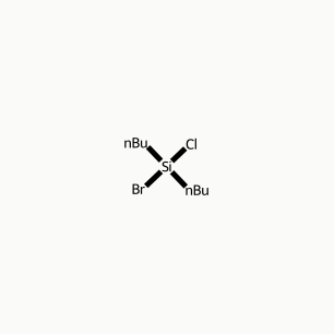 CCCC[Si](Cl)(Br)CCCC